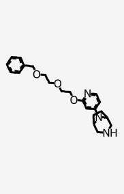 c1ccc(COCCOCCOc2cc(N3C4CCC3CNC4)ccn2)cc1